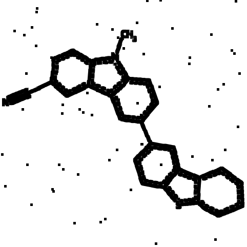 Cn1c2ccc(C#N)cc2c2cc(-c3ccc4sc5ccccc5c4c3)ccc21